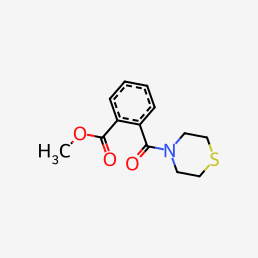 COC(=O)c1ccccc1C(=O)N1CCSCC1